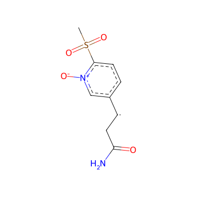 CS(=O)(=O)c1ccc([CH]CC(N)=O)c[n+]1[O-]